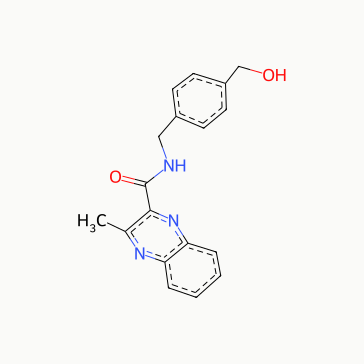 Cc1nc2ccccc2nc1C(=O)NCc1ccc(CO)cc1